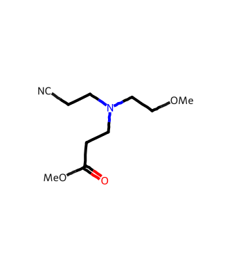 COCCN(CCC#N)CCC(=O)OC